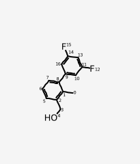 Cc1c(CO)cccc1-c1cc(F)cc(F)c1